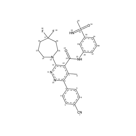 Cc1c(-c2ccc(C#N)cc2)nnc(N2CCCC(F)(F)CC2)c1C(=O)Nc1cccc(S(C)(=N)=O)c1